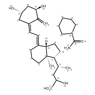 C=C1/C(=C\C=C2CCC[C@]3(C)[C@@H]([C@H](C)CC(O)C(=O)O)CC[C@@H]23)C[C@H](O)C[C@H]1O.NC(=O)N1CCCCC1